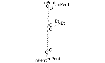 CCCCCC(CCCCC)CCOC(=O)CCCCCCCCCC(CCCCCCCCCC(=O)OCCC(CCCCC)CCCCC)OC(=O)CCCN(CC)CC